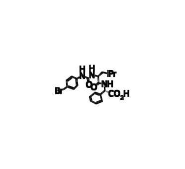 CC(C)C[C@H](NC(=O)Nc1ccc(Br)cc1)C(=O)N[C@H](C(=O)O)c1ccccc1